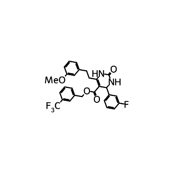 COc1cccc(CCC2=C(C(=O)OCc3cccc(C(F)(F)F)c3)C(c3cccc(F)c3)NC(=O)N2)c1